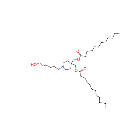 CCCCCCCCCCCC(=O)OCC1(COC(=O)CCCCCCCCCCC)CCN(CCCCCCO)CC1